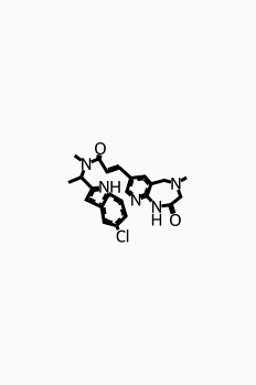 CC(c1cc2cc(Cl)ccc2[nH]1)N(C)C(=O)/C=C/c1cnc2c(c1)CN(C)CC(=O)N2